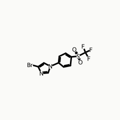 O=S(=O)(c1ccc(-n2cnc(Br)c2)cc1)C(F)(F)F